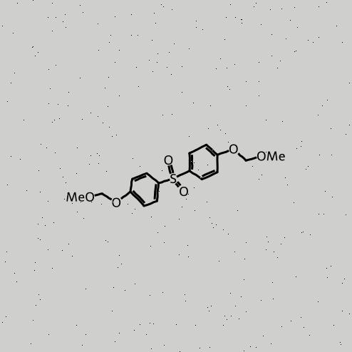 COCOc1ccc(S(=O)(=O)c2ccc(OCOC)cc2)cc1